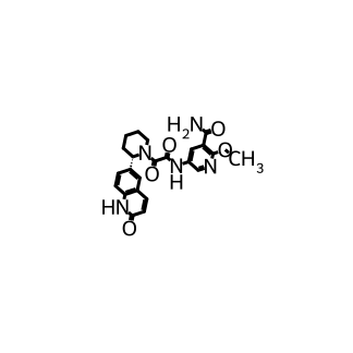 COc1ncc(NC(=O)C(=O)N2CCCC[C@H]2c2ccc3[nH]c(=O)ccc3c2)cc1C(N)=O